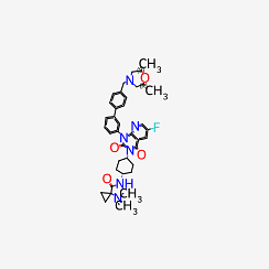 C[C@@H]1CN(Cc2ccc(-c3cccc(-n4c(=O)n([C@H]5CC[C@@H](NC(=O)C6(N(C)C)CC6)CC5)c(=O)c5cc(F)cnc54)c3)cc2)C[C@H](C)O1